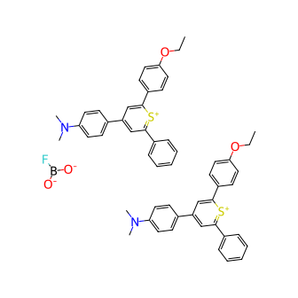 CCOc1ccc(-c2cc(-c3ccc(N(C)C)cc3)cc(-c3ccccc3)[s+]2)cc1.CCOc1ccc(-c2cc(-c3ccc(N(C)C)cc3)cc(-c3ccccc3)[s+]2)cc1.[O-]B([O-])F